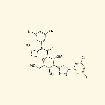 CO[C@@H]1[C@@H](n2cc(-c3cc(F)cc(Cl)c3)nn2)[C@@H](O)[C@@H](CO)O[C@H]1C(=O)N(c1cc(Br)cc(C#N)c1)[C@H]1CC[C@@H]1O